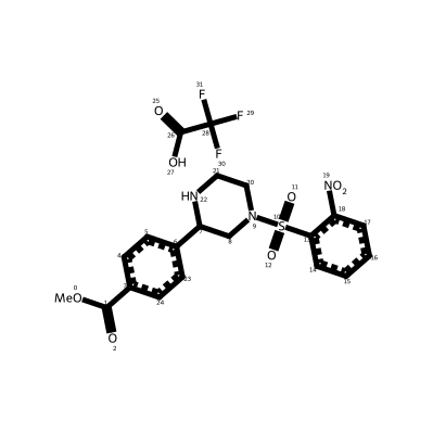 COC(=O)c1ccc(C2CN(S(=O)(=O)c3ccccc3[N+](=O)[O-])CCN2)cc1.O=C(O)C(F)(F)F